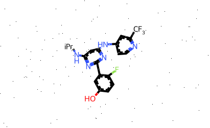 CC(C)Nc1cc(Nc2ccnc(C(F)(F)F)c2)nc(-c2cc(O)ccc2F)n1